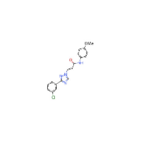 COc1ccc(NC(=O)C=Cn2cnc(-c3cccc(Cl)c3)n2)cc1